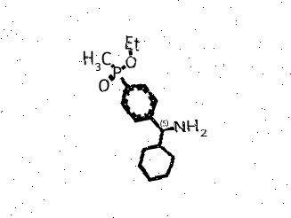 CCOP(C)(=O)c1ccc([C@@H](N)C2CCCCC2)cc1